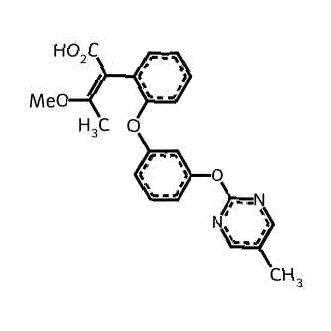 COC(C)=C(C(=O)O)c1ccccc1Oc1cccc(Oc2ncc(C)cn2)c1